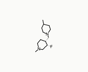 CC1CCN(C[C@H]2CCN(C)C[C@H]2F)CC1